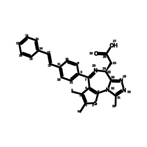 Cc1sc2c(c1C)C(c1ccc(C=Cc3ccccc3)cc1)=N[C@@H](CC(=O)O)c1nnc(C)n1-2